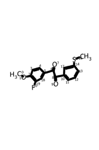 COc1ccc(C(=O)C(=O)c2cccc(SC)c2)cc1F